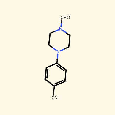 N#Cc1ccc(N2CCN(C=O)CC2)cc1